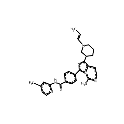 CC=CN1CCCC(c2nc(-c3ccc(C(=O)Nc4cc(C(F)(F)F)ccn4)cc3)n3c(N)nccc23)C1